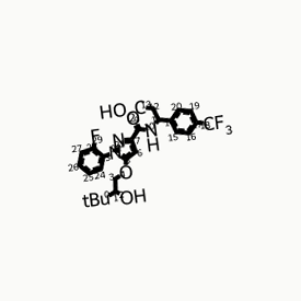 CC(C)(C)C(O)COc1cc(C(=O)NC(CC(=O)O)c2ccc(C(F)(F)F)cc2)nn1-c1ccccc1F